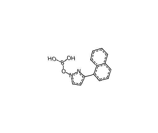 OB(O)On1ccc(-c2cccc3ccccc23)n1